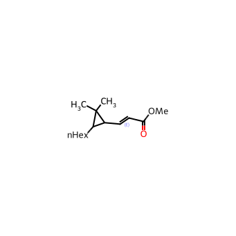 CCCCCCC1C(/C=C/C(=O)OC)C1(C)C